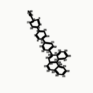 N#Cc1ccc(-c2ccc(-c3ccc(-c4cc5ccc6ccccc6c5c5ccccc45)cc3)cc2)cc1